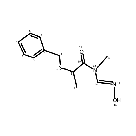 CC(SCc1ccccc1)C(=O)N(C)C=NO